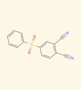 N#Cc1ccc(S(=O)(=O)c2ccccc2)cc1C#N